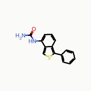 NC(=O)Nc1cccc2c(-c3ccccc3)scc12